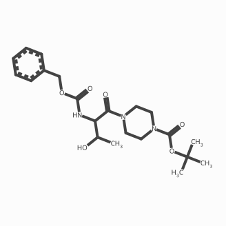 CC(O)C(NC(=O)OCc1ccccc1)C(=O)N1CCN(C(=O)OC(C)(C)C)CC1